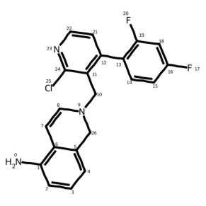 Nc1cccc2c1C=CN(Cc1c(-c3ccc(F)cc3F)ccnc1Cl)C2